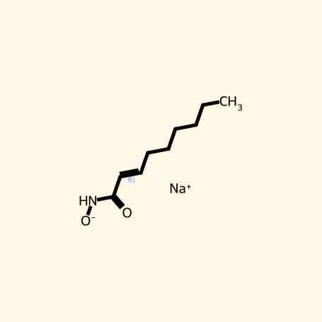 CCCCCC/C=C/C(=O)N[O-].[Na+]